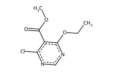 CCOc1ncnc(Cl)c1C(=O)OC